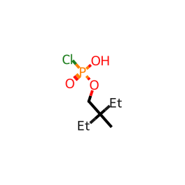 CCC(C)(CC)COP(=O)(O)Cl